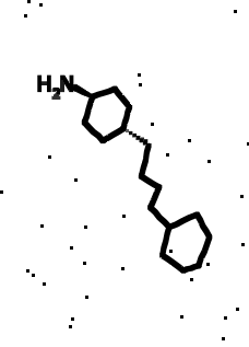 N[C@H]1CC[C@H](CCCCC2CCCCC2)CC1